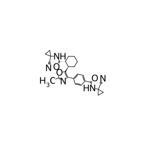 Cc1nc(-c2ccc(C(=O)NC3(C#N)CC3)cc2)c([C@@H]2CCCC[C@H]2C(=O)NC2(C#N)CC2)o1